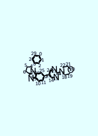 c1ccc([C@H]2CCc3nc4ccc(-c5cnc(N6CCOCC6)nc5)cc4n32)cc1